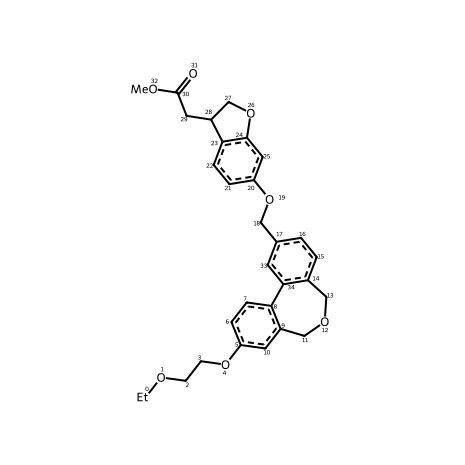 CCOCCOc1ccc2c(c1)COCc1ccc(COc3ccc4c(c3)OCC4CC(=O)OC)cc1-2